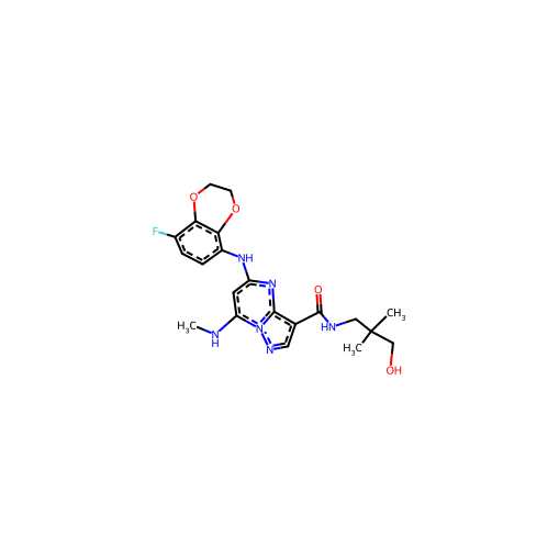 CNc1cc(Nc2ccc(F)c3c2OCCO3)nc2c(C(=O)NCC(C)(C)CO)cnn12